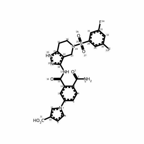 NC(=O)c1ccc(-n2ccc(C(=O)O)c2)cc1C(=O)Nc1n[nH]c2c1CN(S(=O)(=O)c1cc(F)cc(F)c1)CC2